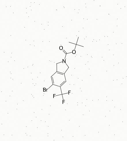 CC(C)(C)OC(=O)N1Cc2cc(Br)c(C(F)(F)F)cc2C1